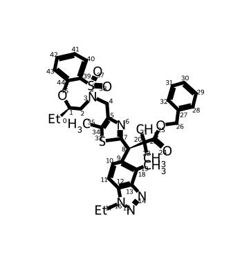 CC[C@@H]1CN(Cc2nc([C@H](c3ccc4c(nnn4CC)c3C)C(C)(C)C(=O)OCc3ccccc3)sc2C)S(=O)(=O)c2ccccc2O1